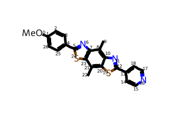 COc1ccc(-c2nc3c(C)c4nc(-c5ccncc5)sc4c(C)c3s2)cc1